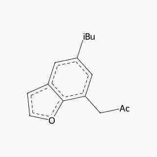 CCC(C)c1cc(CC(C)=O)c2occc2c1